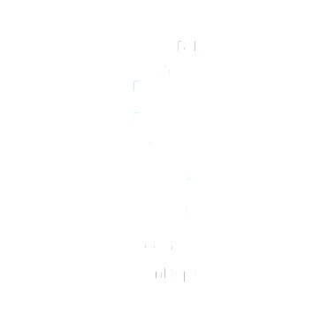 BCOc1ccc(-c2ccc(-c3ccc(C4COC(CCCCCCC)OC4)c(F)c3F)cc2)c(F)c1F